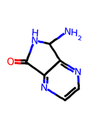 NC1NC(=O)c2nccnc21